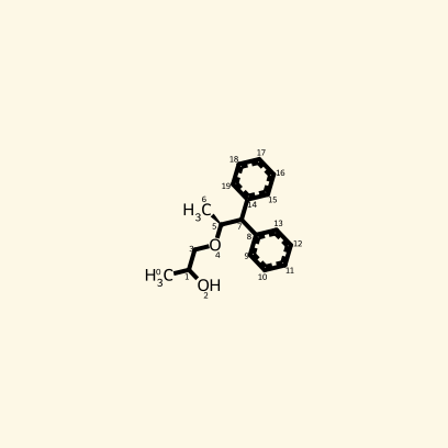 CC(O)CO[C@@H](C)C(c1ccccc1)c1ccccc1